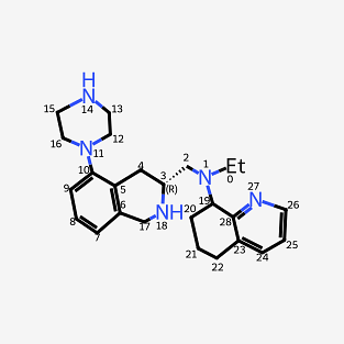 CCN(C[C@H]1Cc2c(cccc2N2CCNCC2)CN1)C1CCCc2cccnc21